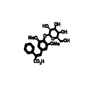 COc1cc(C=C(C(=O)O)c2ccccc2)cc(OC)c1O[C@@H]1O[C@H](CO)[C@H](O)[C@H](O)[C@H]1O